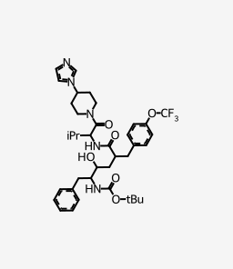 CC(C)C(NC(=O)C(Cc1ccc(OC(F)(F)F)cc1)CC(O)C(Cc1ccccc1)NC(=O)OC(C)(C)C)C(=O)N1CCC(n2ccnc2)CC1